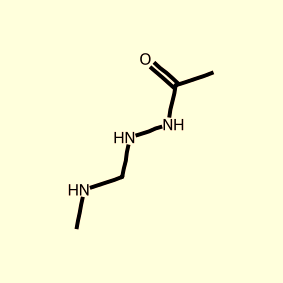 CNCNNC(C)=O